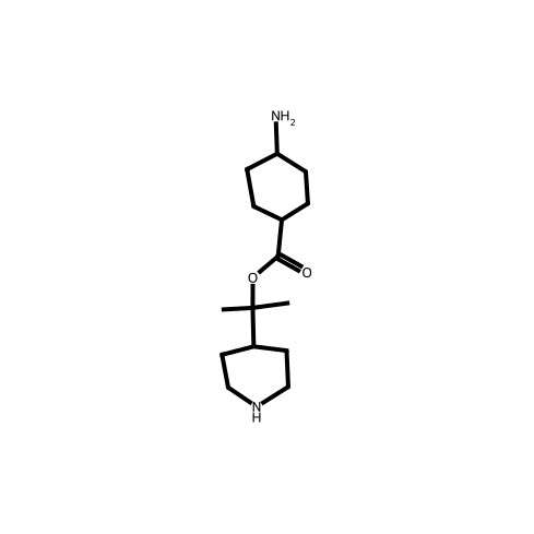 CC(C)(OC(=O)C1CCC(N)CC1)C1CCNCC1